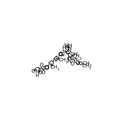 [2H]C([2H])([2H])Oc1ncc(-c2ccnc(N3CCn4c(cc5c4CC(C)(C)C5)C3=O)c2[C@@H](C)O)cc1Nc1ccc(N2CCN(C3CCN(c4ccc5c(c4)C(=O)N([C@H]4CCC(=O)NC4=O)C5=O)[C@H](C)C3)C[C@@H]2C)cn1